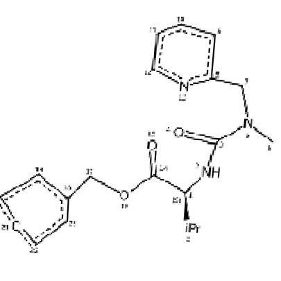 CC(C)[C@H](NC(=O)N(C)Cc1ccccn1)C(=O)OCc1ccccc1